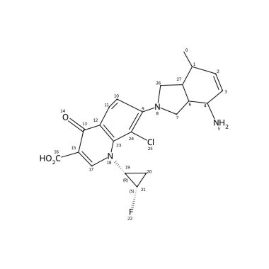 CC1C=CC(N)C2CN(c3ccc4c(=O)c(C(=O)O)cn([C@@H]5C[C@@H]5F)c4c3Cl)CC12